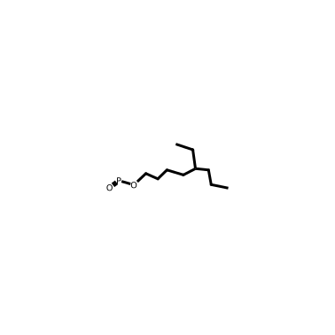 CCCC(CC)CCCCOP=O